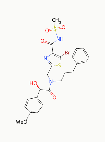 COc1ccc([C@@H](O)C(=O)N(CCCc2ccccc2)Cc2nc(C(=O)NS(C)(=O)=O)c(Br)s2)cc1